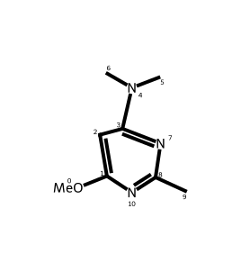 COc1cc(N(C)C)nc(C)n1